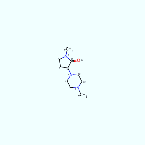 CN1CCN(C2CCN(C)C2=O)CC1